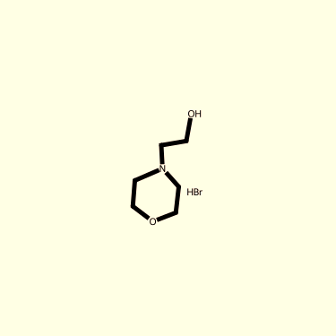 Br.OCCN1CCOCC1